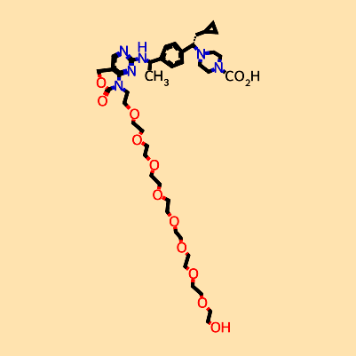 CC(Nc1ncc2c(n1)N(CCOCCOCCOCCOCCOCCOCCOCCOCCO)C(=O)OC2)c1ccc([C@H](CC2CC2)N2CCN(C(=O)O)CC2)cc1